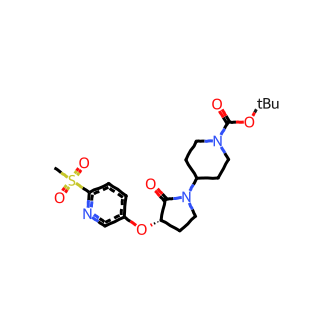 CC(C)(C)OC(=O)N1CCC(N2CC[C@H](Oc3ccc(S(C)(=O)=O)nc3)C2=O)CC1